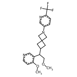 COCC(c1cnccc1OC)C1CC2(C1)CN(c1ccc(C(F)(F)F)nc1)C2